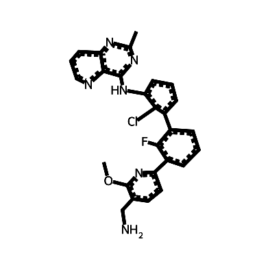 COc1nc(-c2cccc(-c3cccc(Nc4nc(C)nc5cccnc45)c3Cl)c2F)ccc1CN